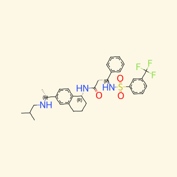 CC(C)CN[C@H](C)c1ccc2c(c1)CCC[C@H]2NC(=O)C[C@@H](NS(=O)(=O)c1cccc(C(F)(F)F)c1)c1ccccc1